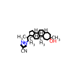 C[C@@H](Cn1cc(C#N)cn1)[C@H]1CC[C@H]2[C@@H]3CC[C@H]4CC[C@](C)(O)CC[C@]4(C)[C@H]3CC[C@]12C